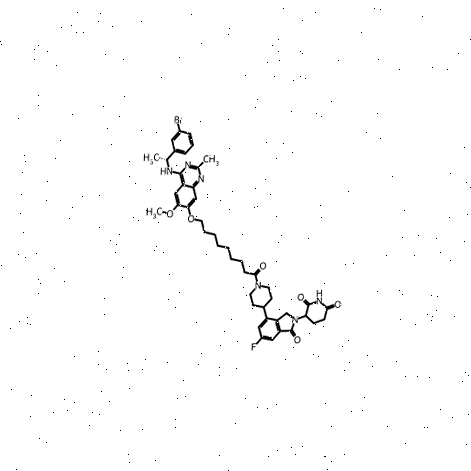 COc1cc2c(N[C@H](C)c3cccc(Br)c3)nc(C)nc2cc1OCCCCCCCCC(=O)N1CCC(c2cc(F)cc3c2CN(C2CCC(=O)NC2=O)C3=O)CC1